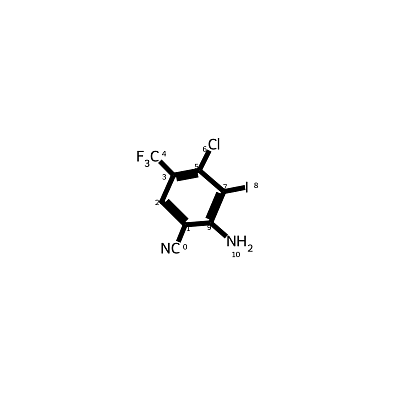 N#Cc1cc(C(F)(F)F)c(Cl)c(I)c1N